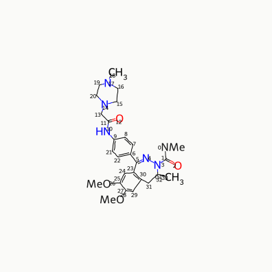 CNC(=O)N1N=C(c2ccc(NC(=O)CN3CCN(C)CC3)cc2)c2cc(OC)c(OC)cc2C[C@@H]1C